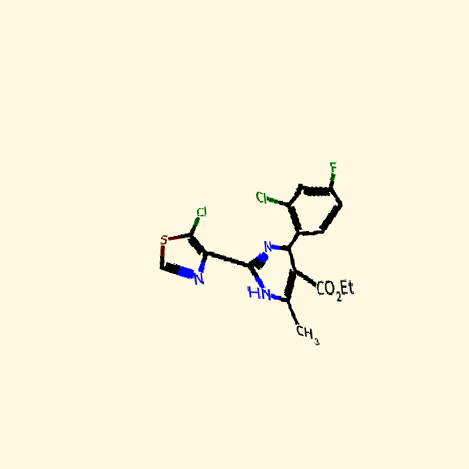 CCOC(=O)C1=C(C)NC(c2ncsc2Cl)=NC1c1ccc(F)cc1Cl